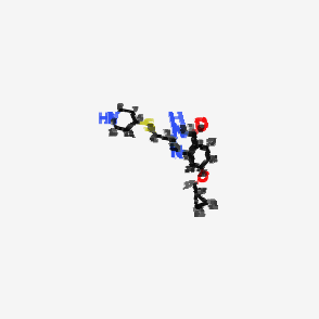 O=c1[nH]c(CSC2CCNCC2)nc2cc(OCC3CC3)ccc12